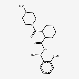 COc1ccccc1C(C#N)NC(=O)C1CCCCC1C(=O)N1CCN(C)CC1